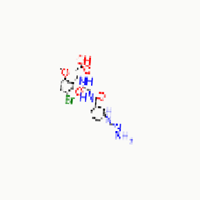 COc1ccc(Br)cc1C(CC(=O)O)NC(=O)CNC(=O)c1cccc(NC=NN)c1